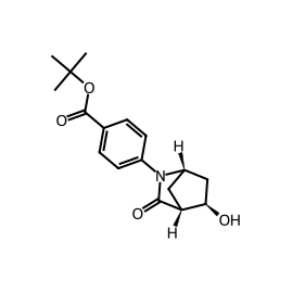 CC(C)(C)OC(=O)c1ccc(N2C(=O)[C@@H]3C[C@H]2C[C@H]3O)cc1